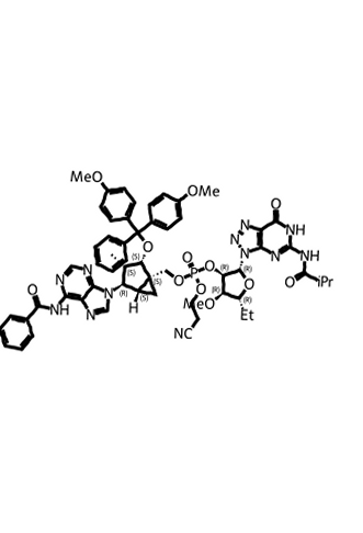 CC[C@H]1O[C@@H](n2nnc3c(=O)[nH]c(NC(=O)C(C)C)nc32)[C@H](OP(=O)(OCCC#N)OC[C@]23C[C@@H]2[C@@H](n2cnc4c(NC(=O)c5ccccc5)ncnc42)[C@H](C)[C@@H]3OC(c2ccccc2)(c2ccc(OC)cc2)c2ccc(OC)cc2)[C@@H]1OC